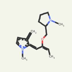 C=c1ccn(C)/c1=C/C(=C\C)OCC1CCCN1C